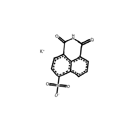 O=C1NC(=O)c2ccc(S(=O)(=O)[O-])c3cccc1c23.[K+]